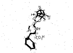 CC(C)C[C@@H](N[C@@H](Cc1ccccc1)C(=O)O)B1O[C@H]2C[C@@H]3C[C@@H](C3(C)C)[C@]2(C)O1